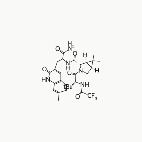 Cc1ccc2cc(CC(NC(=O)[C@@H]3[C@@H]4[C@H](CN3C(=O)[C@@H](NC(=O)C(F)(F)F)C(C)(C)C)C4(C)C)C(N)=O)c(=O)[nH]c2c1